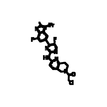 Cc1nc2c(F)cc(-c3nc(Nc4ccc5c(n4)CCN(C(=O)CCl)C5)ncc3F)cc2n1C(C)C